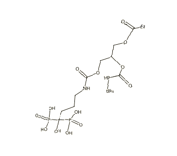 CCC(=O)OCC(COC(=O)NCCCC(O)(P(=O)(O)O)P(=O)(O)O)OC(=O)PC(C)(C)C